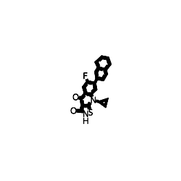 O=c1[nH]sc2c1c(=O)c1cc(F)c(-c3ccc4ccccc4c3)cc1n2C1CC1